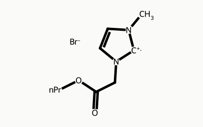 CCCOC(=O)CN1[C+]N(C)C=C1.[Br-]